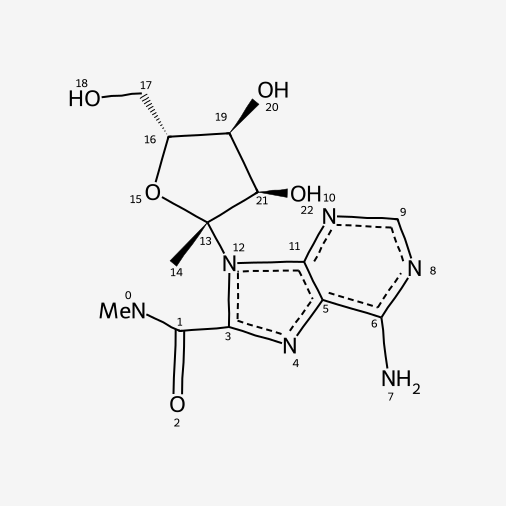 CNC(=O)c1nc2c(N)ncnc2n1[C@]1(C)O[C@H](CO)[C@@H](O)[C@H]1O